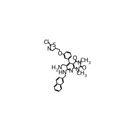 Cn1c(=O)c2c(-c3cccc(OCC4CN=C(Cl)S4)c3)c(CN)c(NCc3ccc4ccccc4c3)nc2n(C)c1=O